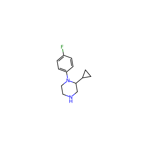 Fc1ccc(N2CCNCC2C2CC2)cc1